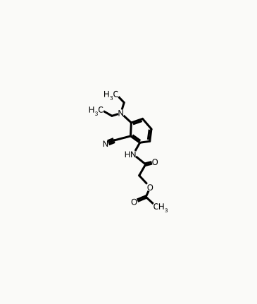 CCN(CC)c1cccc(NC(=O)COC(C)=O)c1C#N